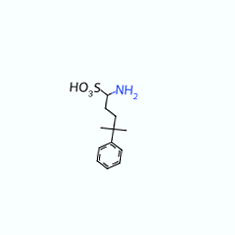 CC(C)(CCC(N)S(=O)(=O)O)c1ccccc1